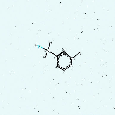 Cc1cccc([Si](C)(C)F)c1